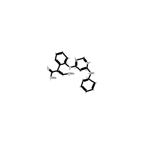 CO/C=C(/C(=O)OC)c1ccccc1Oc1cc(Nc2ccccc2)ncn1